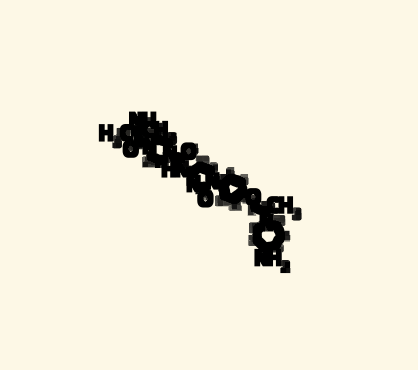 CC(COc1ccc(-n2ccc(NC(=O)N3CCN(C(=O)C(C)(C)N)CC3)nc2=O)cc1)N1CCCC(N)CC1